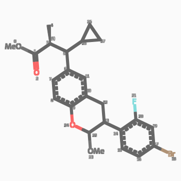 COC(=O)[C@@H](C)C(c1ccc2c(c1)CC(c1ccc(Br)cc1F)C(OC)O2)C1CC1